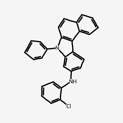 Clc1ccccc1Nc1ccc2c3c4ccccc4ccc3n(-c3ccccc3)c2c1